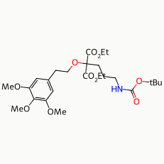 CCOC(=O)C(CCCNC(=O)OC(C)(C)C)(OCCc1cc(OC)c(OC)c(OC)c1)C(=O)OCC